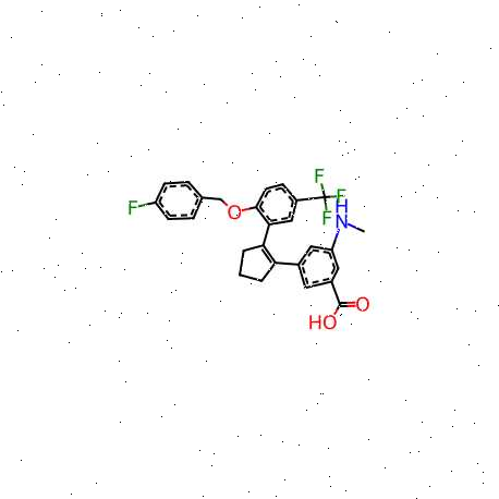 CNc1cc(C(=O)O)cc(C2=C(c3cc(C(F)(F)F)ccc3OCc3ccc(F)cc3)CCC2)c1